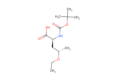 CCO[C@@H](C)C[C@H](NC(=O)OC(C)(C)C)C(=O)O